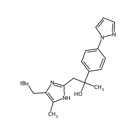 Cc1[nH]c(CC(C)(O)c2ccc(-n3cccn3)cc2)nc1CC(C)(C)C